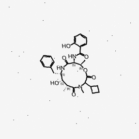 C[C@H]1OC(=O)C(C2CCC2)N(C)C(=O)[C@H](C)[C@H](O)[C@H](Cc2ccccc2)NC(=O)[C@H]1NC(=O)c1ccccc1O